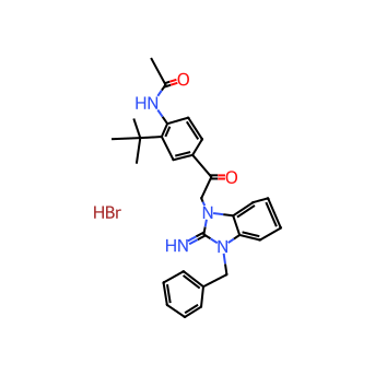 Br.CC(=O)Nc1ccc(C(=O)Cn2c(=N)n(Cc3ccccc3)c3ccccc32)cc1C(C)(C)C